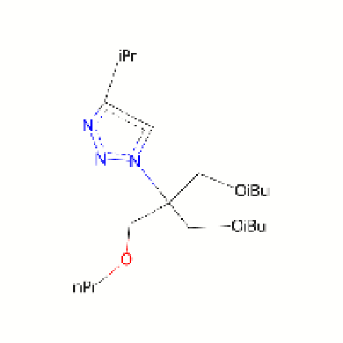 CCCOCC(COCC(C)C)(COCC(C)C)n1cc(C(C)C)nn1